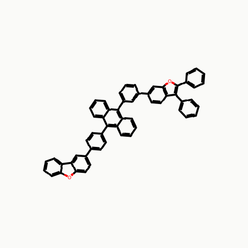 c1ccc(-c2oc3cc(-c4cccc(-c5c6ccccc6c(-c6ccc(-c7ccc8oc9ccccc9c8c7)cc6)c6ccccc56)c4)ccc3c2-c2ccccc2)cc1